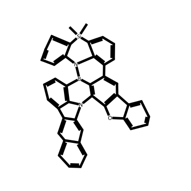 C[Si]1(C)c2ccccc2N2B3c4c(cc5c(oc6ccccc65)c4-n4c5cc6ccccc6cc5c5cccc3c54)-c3cccc1c32